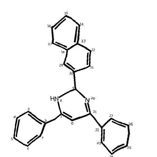 C1=C(c2ccccc2)NC(c2ccc3ccccc3c2)N=C1c1ccccc1